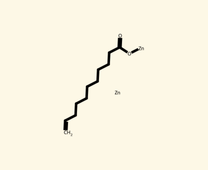 C=CCCCCCCCCC(=O)[O][Zn].[Zn]